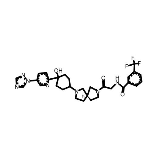 O=C(NCC(=O)N1CC[C@]2(CCN(C3CCC(O)(c4ccc(-n5cncn5)cn4)CC3)C2)C1)c1cccc(C(F)(F)F)c1